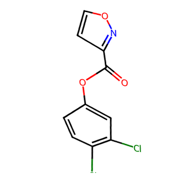 O=C(Oc1ccc(Cl)c(Cl)c1)c1ccon1